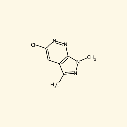 Cc1nn(C)c2nnc(Cl)cc12